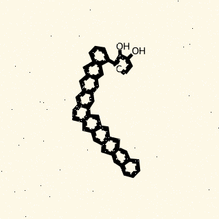 Oc1cccc(-c2cccc3cc4cc5cc6ccc7cc8cc9cc%10cc%11ccccc%11cc%10cc9cc8cc7c6cc5cc4cc23)c1O